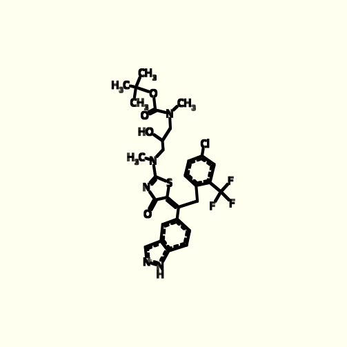 CN(CC(O)CN(C)C1=NC(=O)C(=C(Cc2ccc(Cl)cc2C(F)(F)F)c2ccc3[nH]ncc3c2)S1)C(=O)OC(C)(C)C